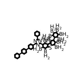 Bc1c(B)c(B)c(-c2c(B)c(B)c3sc4c(B)c(B)c(-c5nc(-c6ccccc6)nc(-c6ccc(-c7ccc(-c8ccccc8)cc7)cc6)n5)c(B)c4c3c2B)c(B)c1B